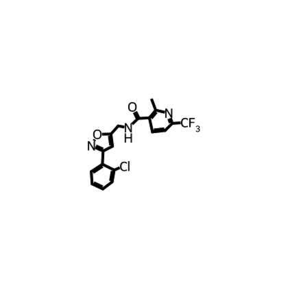 Cc1nc(C(F)(F)F)ccc1C(=O)NCc1cc(-c2ccccc2Cl)no1